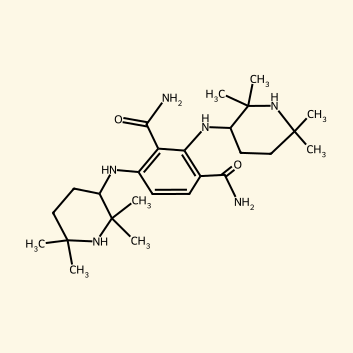 CC1(C)CCC(Nc2ccc(C(N)=O)c(NC3CCC(C)(C)NC3(C)C)c2C(N)=O)C(C)(C)N1